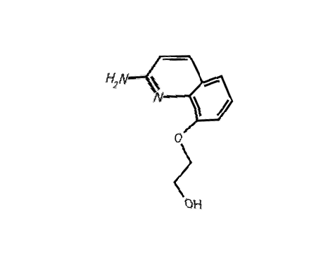 Nc1ccc2cccc(OCCO)c2n1